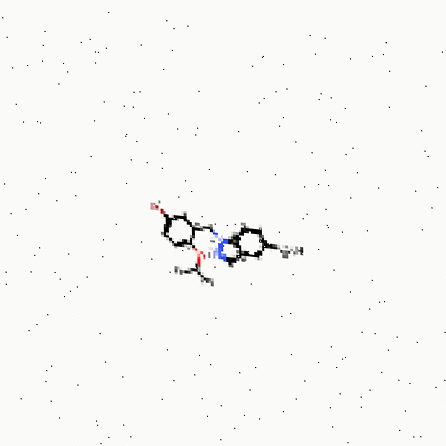 CCC(CC)OC1=CC=C(Br)CC1Cn1ncc2cc(C(=O)O)ccc21